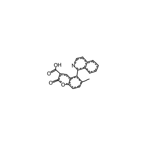 Cc1ccc2oc(=O)c(C(=O)O)cc2c1-c1nccc2ccccc12